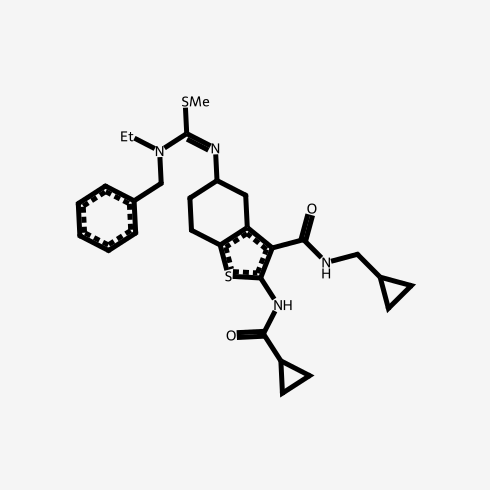 CCN(Cc1ccccc1)C(=NC1CCc2sc(NC(=O)C3CC3)c(C(=O)NCC3CC3)c2C1)SC